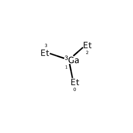 C[CH2][3Ga]([CH2]C)[CH2]C